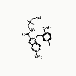 COc1ccc(C)cc1Cn1c(C(=O)NCC(C)(C)CO)cc2cc(N)ccc21